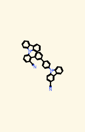 N#Cc1ccc2c(c1)c1ccccc1n2-c1ccc(-c2cccc(-c3c(C#N)cccc3-n3c4ccccc4c4ccccc43)c2)cc1